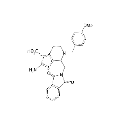 COc1ccc(CN2CCc3c(sc(N)c3C(=O)O)C2CN2C(=O)c3ccccc3C2=O)cc1